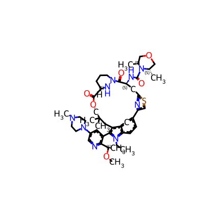 CCn1c(-c2cc(N3CCN(C)CC3)cnc2[C@H](C)OC)c2c3cc(ccc31)-c1csc(n1)C[C@H](NC(=O)N1[C@@H](C)COC[C@@H]1C)C(=O)N1CCC[C@H](N1)C(=O)OCC(C)(C)C2